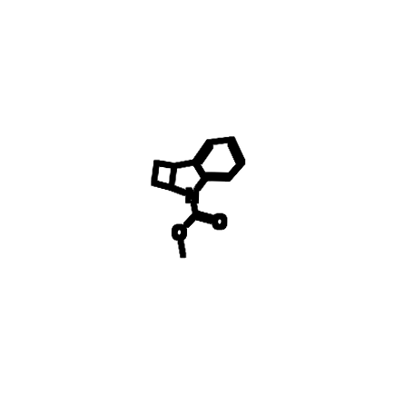 COC(=O)N1c2ccccc2C2CCC21